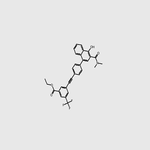 CCOC(=O)c1cc(C#Cc2ccc(-c3cc(C(=O)N(C)C)c(O)c4ccccc34)cc2)cc(C(F)(F)F)c1